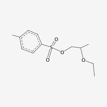 CCOC(C)COS(=O)(=O)c1ccc(C)cc1